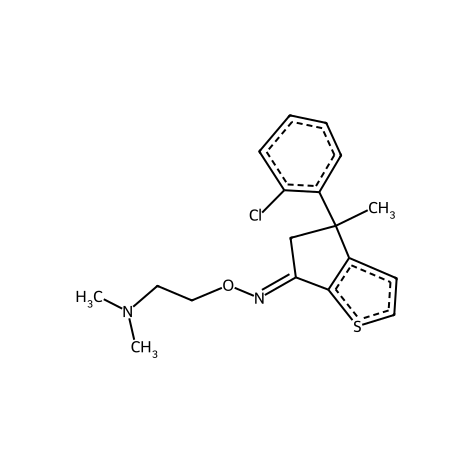 CN(C)CCON=C1CC(C)(c2ccccc2Cl)c2ccsc21